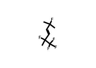 CC(C)(F)/C=C/C(C)(F)C(F)(F)F